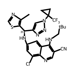 Cc1ncsc1[C@H](Nc1cc(Cl)c2ncc(C#N)c(NCC(C)(C)C)c2c1)c1cn(C2(C(F)(F)F)CC2)nn1